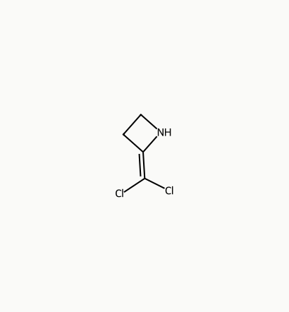 ClC(Cl)=C1CCN1